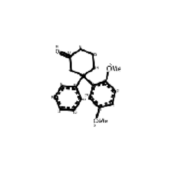 COc1ccc(OC)c(C2(c3ccccc3)CCCC(=O)C2)c1